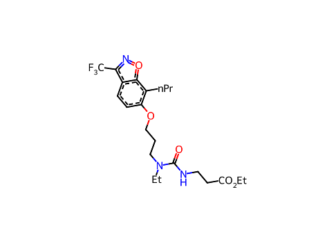 CCCc1c(OCCCN(CC)C(=O)NCCC(=O)OCC)ccc2c(C(F)(F)F)noc12